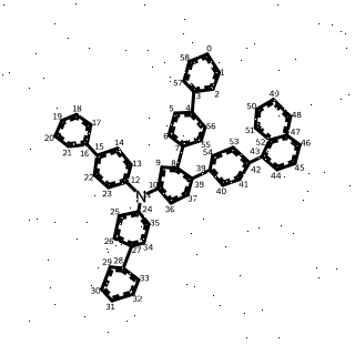 c1ccc(-c2ccc(-c3cc(N(c4ccc(-c5ccccc5)cc4)c4ccc(-c5ccccc5)cc4)ccc3-c3ccc(-c4cccc5ccccc45)cc3)cc2)cc1